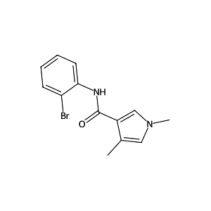 Cc1cn(C)cc1C(=O)Nc1ccccc1Br